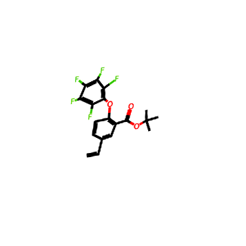 C=Cc1ccc(Oc2c(F)c(F)c(F)c(F)c2F)c(C(=O)OC(C)(C)C)c1